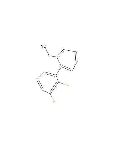 N#CCc1ccccc1-c1cccc(F)c1F